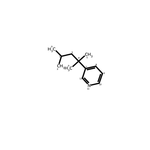 CC(C)CC(C)(C)c1cccnc1